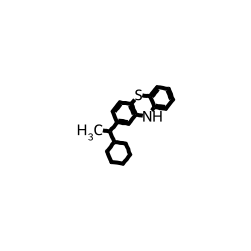 CC(c1ccc2c(c1)Nc1ccccc1S2)C1CCCCC1